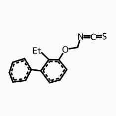 CCc1c(OCN=C=S)cccc1-c1ccccc1